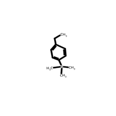 CCc1ccc(S(C)(C)C)cc1